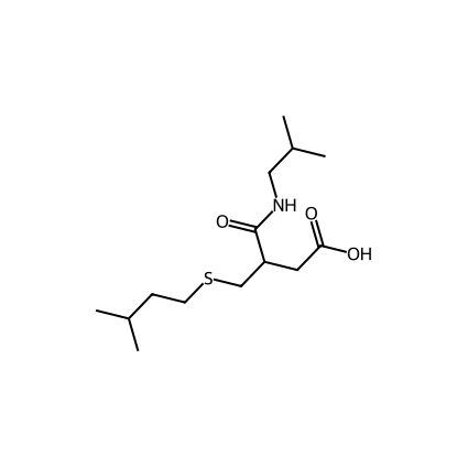 CC(C)CCSCC(CC(=O)O)C(=O)NCC(C)C